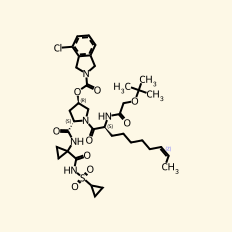 C/C=C\CCCCC[C@H](NC(=O)COC(C)(C)C)C(=O)N1C[C@H](OC(=O)N2Cc3cccc(Cl)c3C2)C[C@H]1C(=O)NC1(C(=O)NS(=O)(=O)C2CC2)CC1